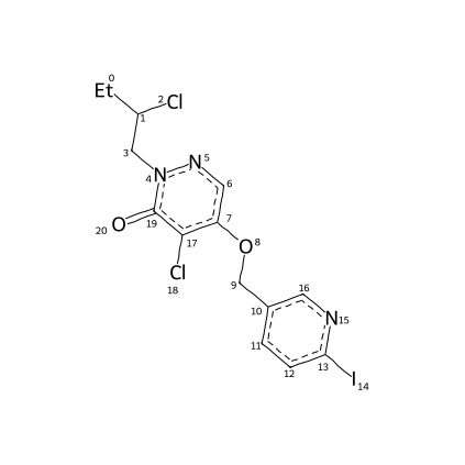 CCC(Cl)Cn1ncc(OCc2ccc(I)nc2)c(Cl)c1=O